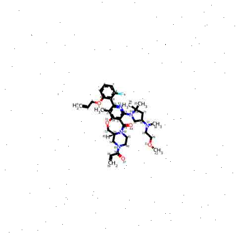 C=CCOc1cccc(F)c1-c1nc(N2CC(N(C)CCOC)CC2(C)C)c2c(c1C)OC[C@H]1CN(C(=O)C=C)CCN1C2=O